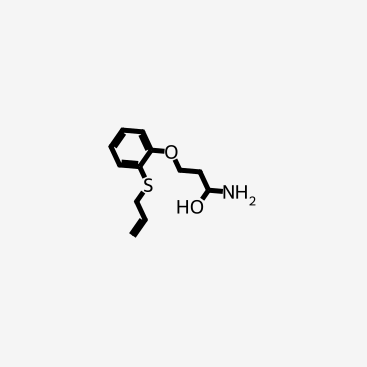 C=CCSc1ccccc1OCCC(N)O